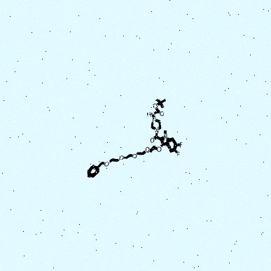 Cn1c(C(=O)N2CCN(NC(=O)OC(C)(C)C)CC2)c(OCCOCCOCCOCCOCc2ccccc2)c2cc(F)c(F)cc21